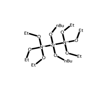 CCCC[O][Zr]([O]CCCC)([N+](OCC)(OCC)OCC)[N+](OCC)(OCC)OCC